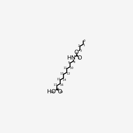 CCCCOC(=O)NCCCCCCCCCCC(=O)O